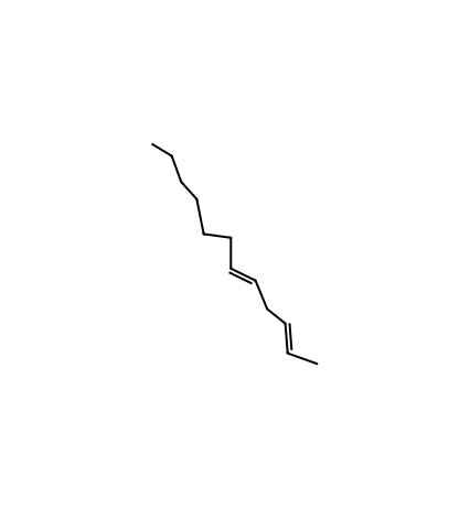 C/C=C/C/C=C/CCCCCC